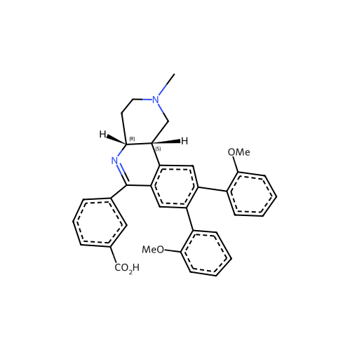 COc1ccccc1-c1cc2c(cc1-c1ccccc1OC)[C@H]1CN(C)CC[C@H]1N=C2c1cccc(C(=O)O)c1